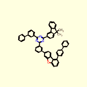 CC1(C)c2ccccc2-c2cc(-c3nc(-c4cccc(-c5ccccc5)c4)nc(-c4cccc(-c5ccc6c(c5)oc5cccc(-c7ccc(-c8ccccc8)cc7)c56)c4)n3)ccc21